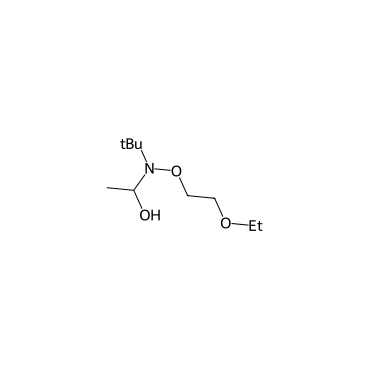 CCOCCON(C(C)O)C(C)(C)C